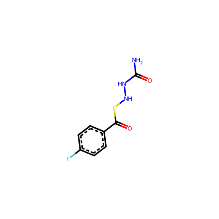 NC(=O)NNSC(=O)c1ccc(F)cc1